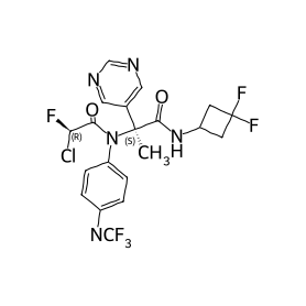 C[C@@](C(=O)NC1CC(F)(F)C1)(c1cncnc1)N(C(=O)[C@H](F)Cl)c1ccc(NC(F)(F)F)cc1